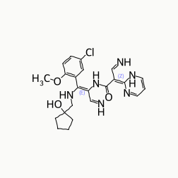 COc1ccc(Cl)cc1/C(NCC1(O)CCCC1)=C(/C=N)NC(=O)/C(C=N)=C1\N=CC=CN1